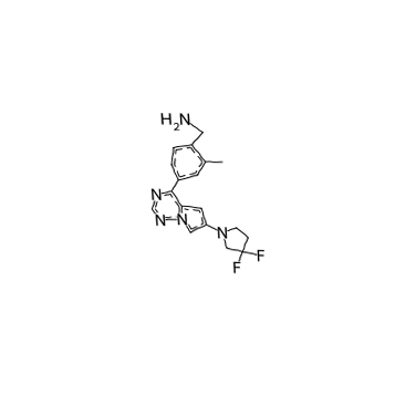 Cc1cc(-c2ncnn3cc(N4CCC(F)(F)C4)cc23)ccc1CN